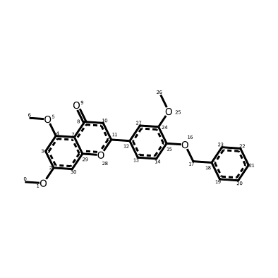 COc1cc(OC)c2c(=O)cc(-c3ccc(OCc4ccccc4)c(OC)c3)oc2c1